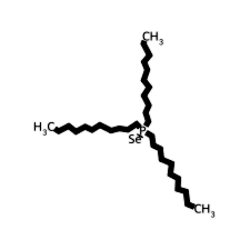 CCCCCCCCCCCP(=[Se])(CCCCCCCCCCC)CCCCCCCCCCC